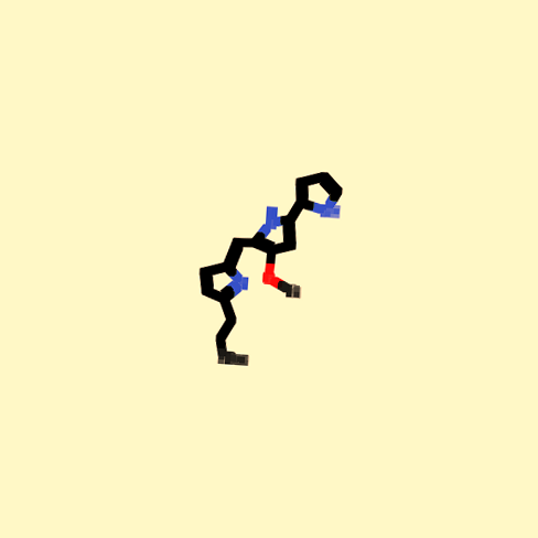 CCCCCCCCCCCCC1=NC(=Cc2[nH]c(-c3ccc[nH]3)cc2OCC)C=C1